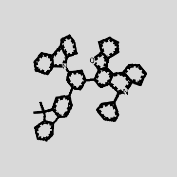 CC1(C)c2ccccc2-c2ccc(-c3cc(-c4cc5c(-c6ccccc6)nc6ccccc6c5c5c4oc4ccccc45)cc(-n4c5ccccc5c5ccccc54)c3)cc21